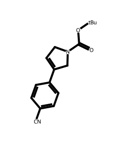 CC(C)(C)OC(=O)N1CC=C(c2ccc(C#N)cc2)C1